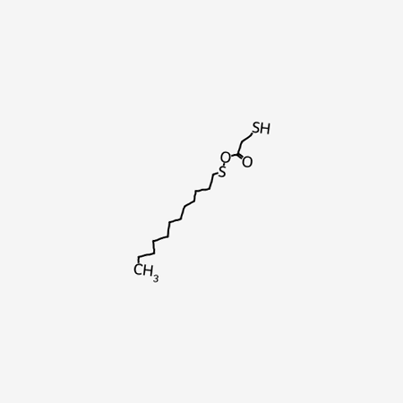 CCCCCCCCCCCCSOC(=O)CCS